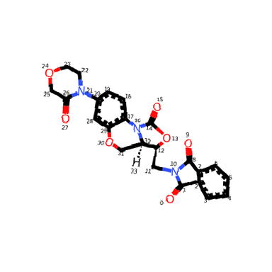 O=C1c2ccccc2C(=O)N1C[C@@H]1OC(=O)N2c3ccc(N4CCOCC4=O)cc3OC[C@H]12